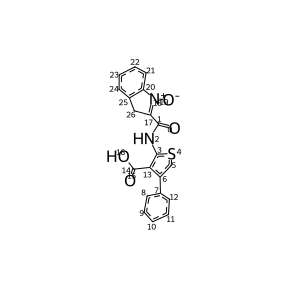 O=C(Nc1scc(-c2ccccc2)c1C(=O)O)C1=[N+]([O-])c2ccccc2C1